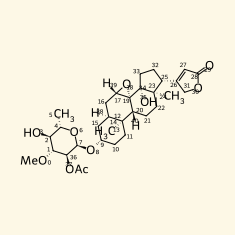 CO[C@@H]1[C@@H](O)[C@H](C)O[C@@H](O[C@H]2CC[C@@]3(C)[C@@H](C2)C[C@@H]2O[C@]24[C@@H]3CC[C@]2(C)[C@@H](C3=CC(=O)OC3)CC[C@]42O)[C@H]1OC(C)=O